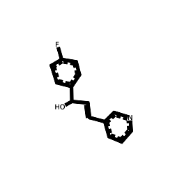 OC(C=Cc1cccnc1)c1ccc(F)cc1